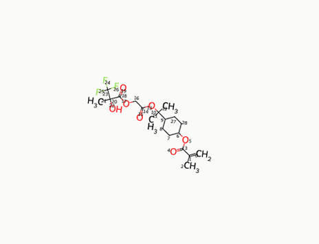 C=C(C)C(=O)OC1CCC(C(C)(C)OC(=O)COC(=O)C(C)(O)C(F)(F)F)CC1